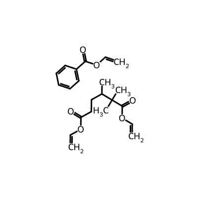 C=COC(=O)CCC(C)C(C)(C)C(=O)OC=C.C=COC(=O)c1ccccc1